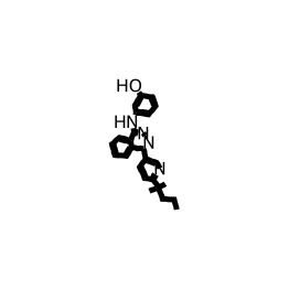 CCCC(C)(C)c1ccc(-c2nnc(Nc3cccc(O)c3)c3ccccc23)cn1